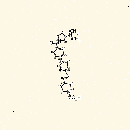 CN(C)C1CCN(C(=O)c2ccc(-c3cnc(OCC4CCN(C(=O)O)CC4)nc3)cc2)C1